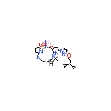 CN1CCC[C@H]2CN(c3nc(-n4ccc(OCCC(C5CC5)C5CC5)n4)ccc3C(=O)NS(=O)(=O)c3cccc1n3)C(C)(C)C2